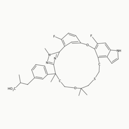 CC(Cc1cccc(C2(C)CCOC(C)(C)CSCCc3c(c(F)cc4[nH]ccc34)Oc3ccc(F)c(c3)-c3nc2nn3C)c1)C(=O)O